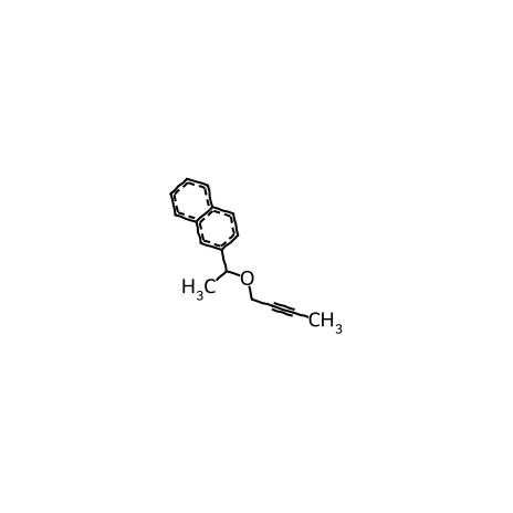 CC#CCOC(C)c1ccc2ccccc2c1